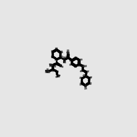 CC(C)C[C@@H](C#N)NC(=O)[C@@H]1CCCC[C@@H]1NC(=O)c1ccc(OCCN2CCOCC2)cc1